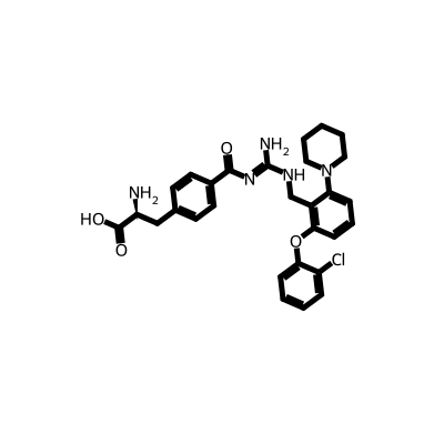 N/C(=N\C(=O)c1ccc(C[C@H](N)C(=O)O)cc1)NCc1c(Oc2ccccc2Cl)cccc1N1CCCCC1